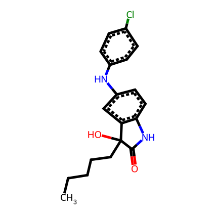 CCCCCC1(O)C(=O)Nc2ccc(Nc3ccc(Cl)cc3)cc21